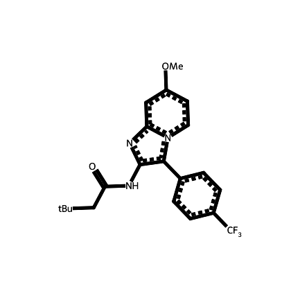 COc1ccn2c(-c3ccc(C(F)(F)F)cc3)c(NC(=O)CC(C)(C)C)nc2c1